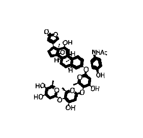 CC(=O)Nc1ccc(O)cc1.C[C@H]1O[C@@H](O[C@H]2[C@@H](O)C[C@H](O[C@H]3[C@@H](O)C[C@H](O[C@H]4CC[C@@]5(C)[C@H](CC[C@@H]6[C@@H]5C[C@@H](O)[C@]5(C)[C@@H](C7=CC(=O)OC7)CC[C@]65O)C4)O[C@@H]3C)O[C@@H]2C)C[C@H](O)[C@@H]1O